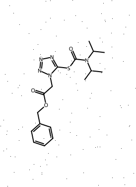 CC(C)N(C(=O)Sc1nnnn1CC(=O)OCc1ccccc1)C(C)C